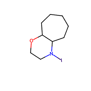 IN1CCOC2CCCCCC21